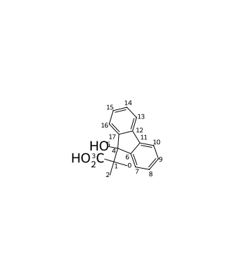 CC(C)(C(=O)O)C1(O)c2ccccc2-c2ccccc21